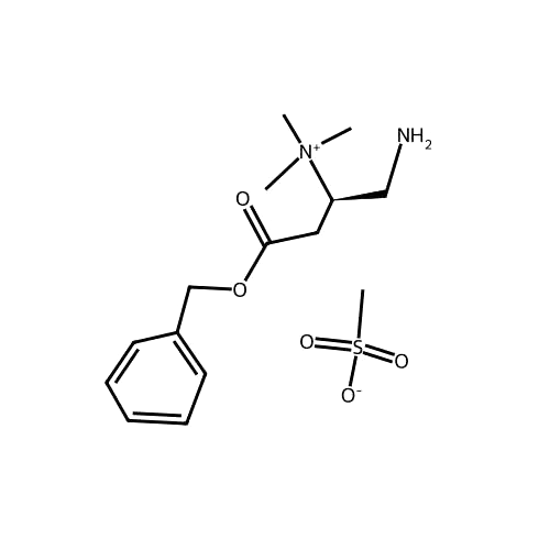 CS(=O)(=O)[O-].C[N+](C)(C)[C@@H](CN)CC(=O)OCc1ccccc1